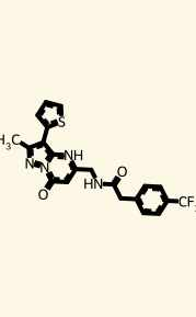 Cc1nn2c(=O)cc(CNC(=O)Cc3ccc(C(F)(F)F)cc3)[nH]c2c1-c1cccs1